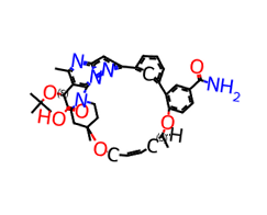 Cc1nc2cc3nn2c(c1[C@H](OC(C)(C)C)C(=O)O)N1CCC(C)(CC1)OCC=CC[C@H](C)Oc1ccc(C(N)=O)cc1-c1cccc-3c1